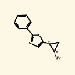 CC(C)[C@H]1C[C@@H]1c1cnc(-c2ccccc2)o1